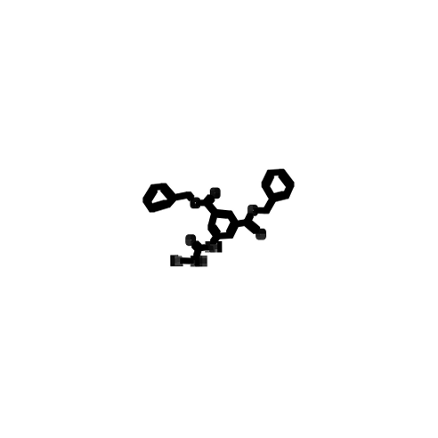 CCNC(=O)Nc1cc(C(=O)OCc2ccccc2)cc(C(=O)OCc2ccccc2)c1